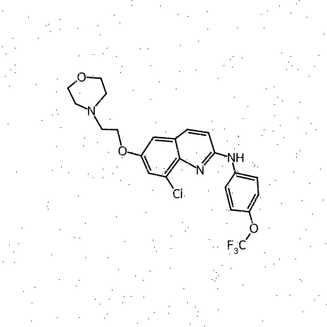 FC(F)(F)Oc1ccc(Nc2ccc3cc(OCCN4CCOCC4)cc(Cl)c3n2)cc1